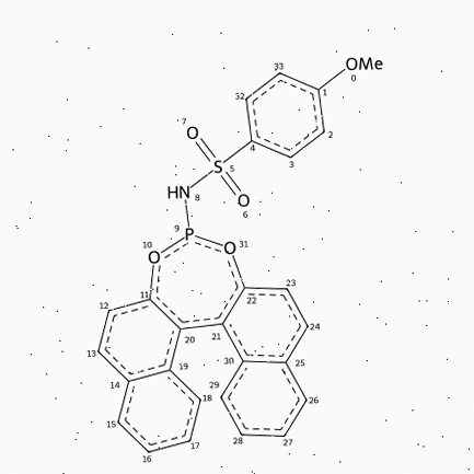 COc1ccc(S(=O)(=O)Np2oc3ccc4ccccc4c3c3c(ccc4ccccc43)o2)cc1